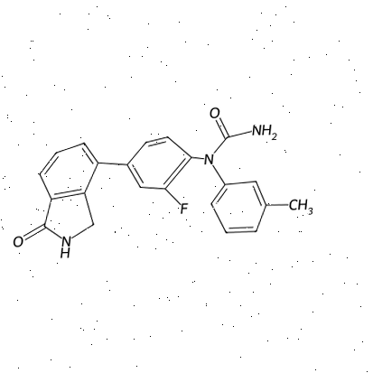 Cc1cccc(N(C(N)=O)c2ccc(-c3cccc4c3CNC4=O)cc2F)c1